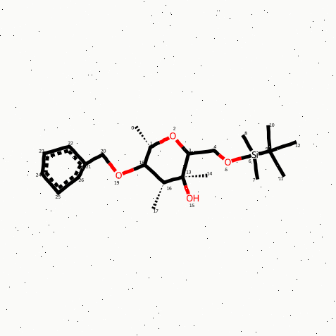 C[C@@H]1OC(CO[Si](C)(C)C(C)(C)C)[C@@](C)(O)[C@H](C)C1OCc1ccccc1